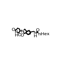 CCCCCCC(=O)NCc1ccc2c(c1)CN(C1CCC(=O)NC1=O)C2=O